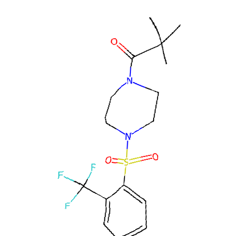 CC(C)(C)C(=O)N1CCN(S(=O)(=O)c2ccccc2C(F)(F)F)CC1